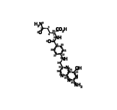 NC(=O)CC[C@@H](NC(=O)c1ccc(NCc2cnc3nc(N)nc(O)c3n2)cc1)C(=O)O